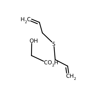 C=CCSCC=C.O=C(O)CO